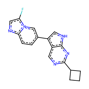 Fc1cnc2ccc(-c3c[nH]c4nc(C5CCC5)ncc34)cn12